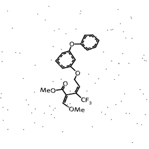 CO/C=C(C(=O)OC)\C(=C/COc1cccc(Oc2ccccc2)c1)C(F)(F)F